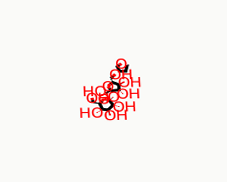 C1CCOC1.OC[C@H]1O[C@@](CO)(O[C@H]2O[C@H](CO)[C@@H](O)[C@H](O)[C@H]2O)[C@@H](O)[C@@H]1O